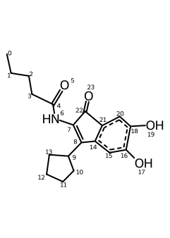 CCCCC(=O)NC1=C(C2CCCC2)c2cc(O)c(O)cc2C1=O